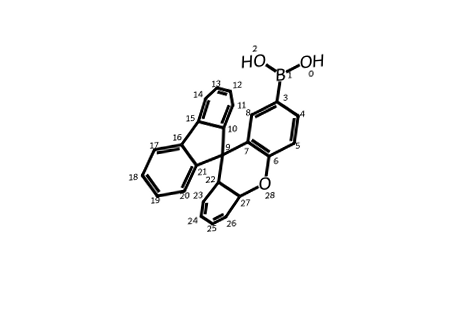 OB(O)c1ccc2c(c1)C1(c3ccccc3-c3ccccc31)C1C=CC=CC1O2